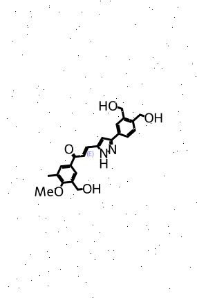 COc1c(C)cc(C(=O)/C=C/c2cc(-c3ccc(CO)c(CO)c3)n[nH]2)cc1CO